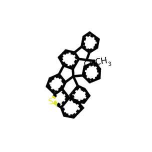 CC1(C)c2ccccc2-c2ccc3c(c21)C(c1ccccc1)(c1ccccc1)c1c-3ccc2sc3ccccc3c12